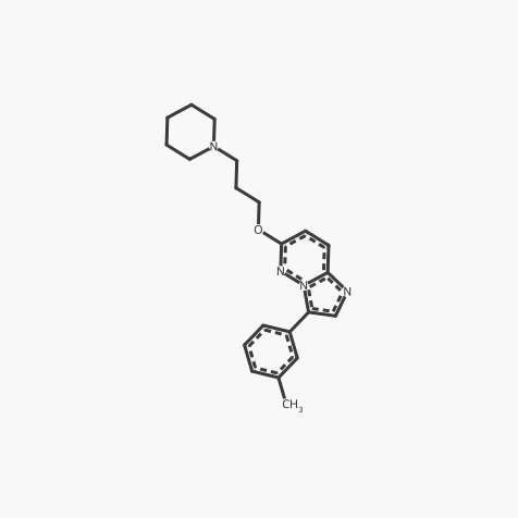 Cc1cccc(-c2cnc3ccc(OCCCN4CCCCC4)nn23)c1